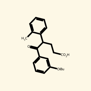 Cc1ccccc1C(CCC(=O)O)C(=O)c1cccc(OCC(C)C)c1